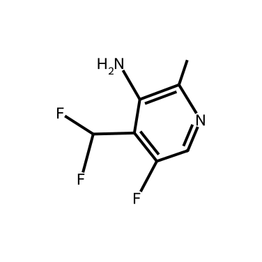 Cc1ncc(F)c(C(F)F)c1N